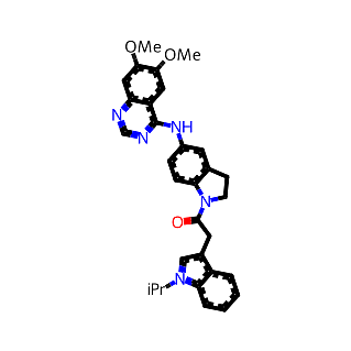 COc1cc2ncnc(Nc3ccc4c(c3)CCN4C(=O)Cc3cn(C(C)C)c4ccccc34)c2cc1OC